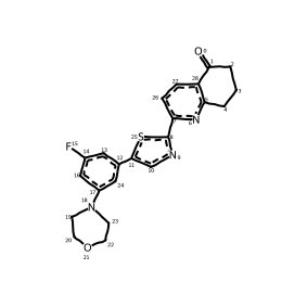 O=C1CCCc2nc(-c3ncc(-c4cc(F)cc(N5CCOCC5)c4)s3)ccc21